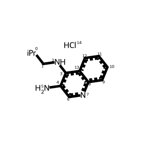 CC(C)CNc1c(N)cnc2ccccc12.Cl